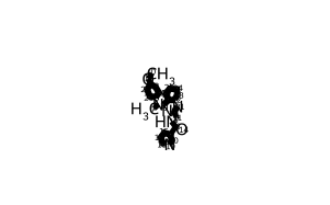 COc1ccc(N(C)c2nc(CNC(=O)c3cccnc3)nc3ccccc23)cc1